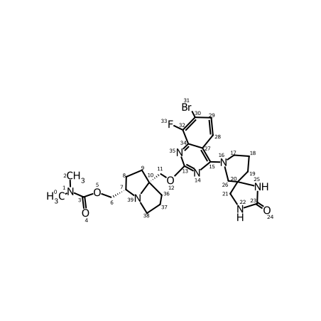 CN(C)C(=O)OC[C@@H]1CC[C@@]2(COc3nc(N4CCCC5(CNC(=O)N5)C4)c4ccc(Br)c(F)c4n3)CCCN12